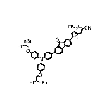 CCCCC(CC)COc1ccc(N(c2ccc(OCC(CC)CCCC)cc2)c2ccc(-c3ccc4c(c3)C(=O)c3cc(-c5ccc(/C=C(/C#N)C(=O)O)s5)ccc3-4)cc2)cc1